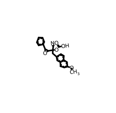 COc1ccc2cc(CC(C#N)(OC(=O)O)C3OC3c3ccccc3)ccc2c1